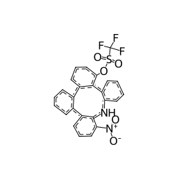 O=[N+]([O-])c1cccc2c1[nH]c1ccccc1c1c(OS(=O)(=O)C(F)(F)F)cccc1c1ccccc21